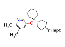 CCCCCCC[C@H]1CC[C@H](C2(Oc3cnc(C)c(C)c3)CCCCC2)CC1